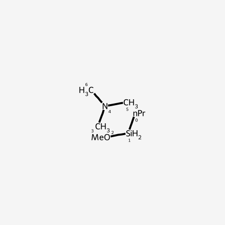 CCC[SiH2]OC.CN(C)C